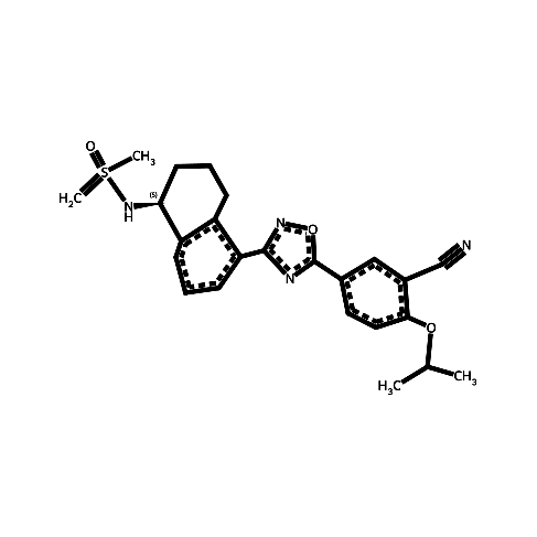 C=S(C)(=O)N[C@H]1CCCc2c(-c3noc(-c4ccc(OC(C)C)c(C#N)c4)n3)cccc21